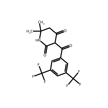 CC1(C)CC(=O)C(C(=O)c2cc(C(F)(F)F)cc(C(F)(F)F)c2)C(=O)N1